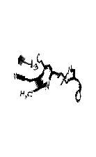 Cc1cc(-n2ncc(C=O)n2)nc(C)c1C#N